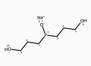 [Na+].[O-]P(CCCO)CCCO